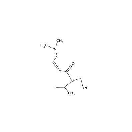 CC(C)CN(C(=O)/C=C\CN(C)C)C(C)I